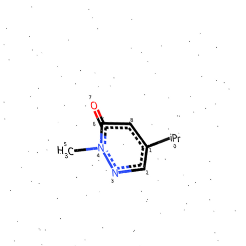 CC(C)c1cnn(C)c(=O)c1